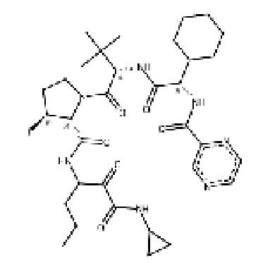 CCCC(NC(=O)[C@@H]1[C@@H](I)CCN1C(=O)[C@@H](NC(=O)[C@@H](NC(=O)c1cnccn1)C1CCCCC1)C(C)(C)C)C(=O)C(=O)NC1CC1